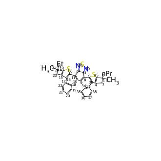 CCCC1(C)Cc2c1sc(-c1ccc(-c3sc4c(c3-c3ccccc3)CC4(C)CC)c3nsnc13)c2-c1ccccc1